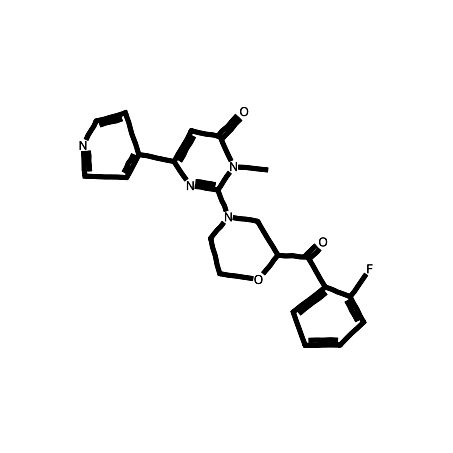 Cn1c(N2CCOC(C(=O)c3ccccc3F)C2)nc(-c2ccncc2)cc1=O